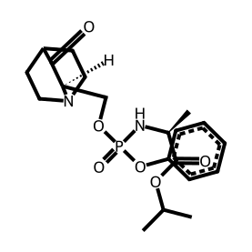 CC(C)OC(=O)[C@H](C)NP(=O)(OC[C@@H]1C(=O)C2CCN1CC2)Oc1ccccc1